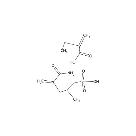 C=C(CC(C)CS(=O)(=O)O)C(N)=O.C=C(CC)C(=O)O